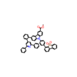 COC(=O)c1ccc2c(c1)c1cc(-c3ccccc3-c3cc(-c4ccccc4)nc(-c4ccccc4)c3)ccc1n2-c1ccc(-c2cccc3c2S(=O)(=O)c2ccccc2-3)cc1